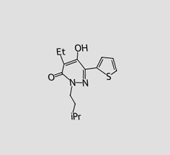 CCc1c(O)c(-c2cccs2)nn(CCC(C)C)c1=O